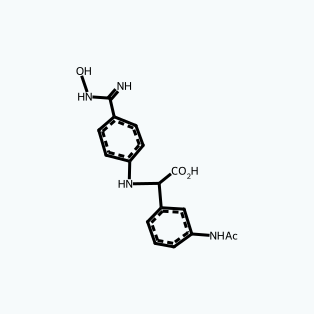 CC(=O)Nc1cccc(C(Nc2ccc(C(=N)NO)cc2)C(=O)O)c1